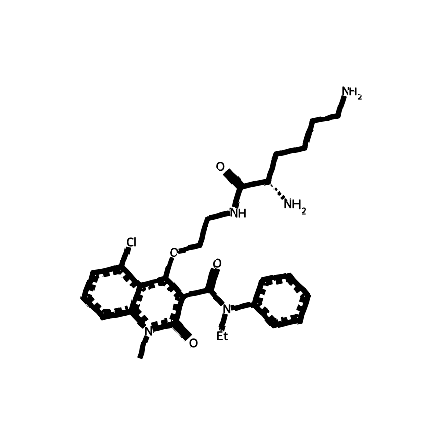 CCN(C(=O)c1c(OCCNC(=O)[C@@H](N)CCCCN)c2c(Cl)cccc2n(C)c1=O)c1ccccc1